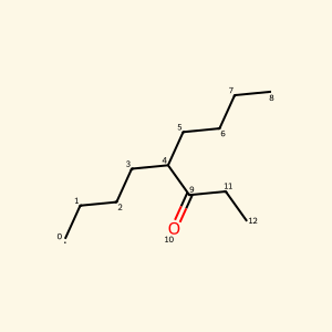 [CH2]CCCC(CCCC)C(=O)CC